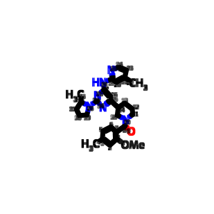 COc1cc(C)ccc1C(=O)N1CCCC(c2cc(Nc3cc(C)ccn3)nc(N3CCCC3C)n2)C1